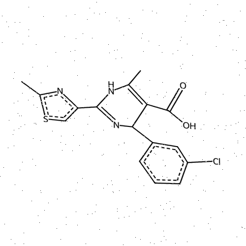 CC1=C(C(=O)O)C(c2cccc(Cl)c2)N=C(c2csc(C)n2)N1